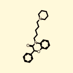 O=C1C(c2ccccc2)Oc2ccccc2N1CCCCCN1CCCCC1